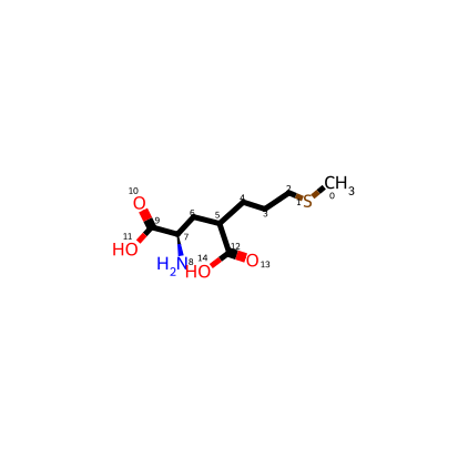 CSCCCC(C[C@@H](N)C(=O)O)C(=O)O